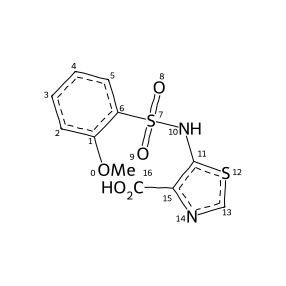 COc1ccccc1S(=O)(=O)Nc1scnc1C(=O)O